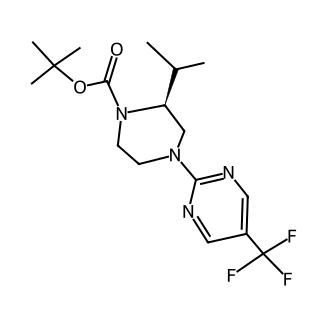 CC(C)[C@H]1CN(c2ncc(C(F)(F)F)cn2)CCN1C(=O)OC(C)(C)C